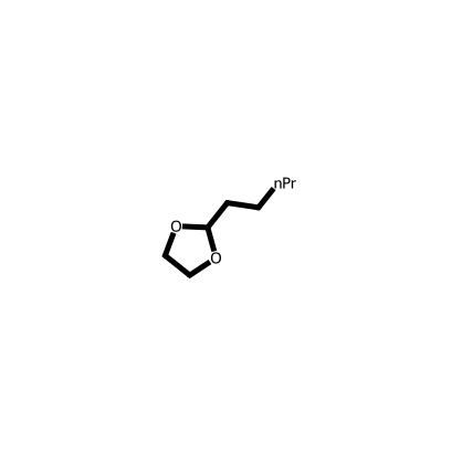 CCCCCC1OCCO1